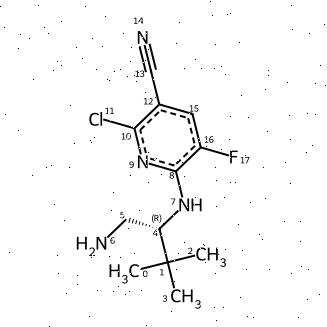 CC(C)(C)[C@H](CN)Nc1nc(Cl)c(C#N)cc1F